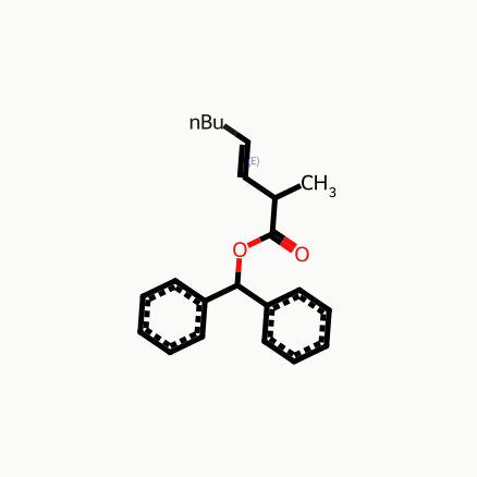 CCCC/C=C/C(C)C(=O)OC(c1ccccc1)c1ccccc1